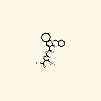 Cc1nc(NC(=O)c2cc3c(n(CC4CCCCC4)c2=O)CCCCCC3)sc1C(=O)O